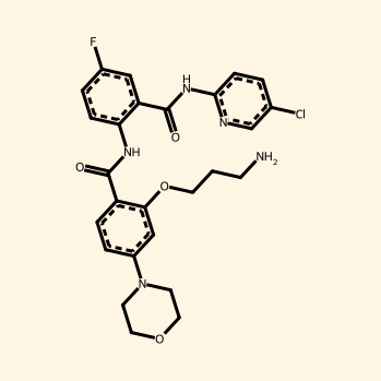 NCCCOc1cc(N2CCOCC2)ccc1C(=O)Nc1ccc(F)cc1C(=O)Nc1ccc(Cl)cn1